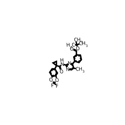 Cc1cnc(NC(=O)C2(c3ccc4c(c3)OC(F)(F)O4)CC2)nc1-c1cccc(C(=O)OC(C)(C)C)c1